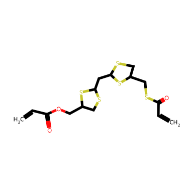 C=CC(=O)OCC1CSC(CC2SCC(CSC(=O)C=C)S2)S1